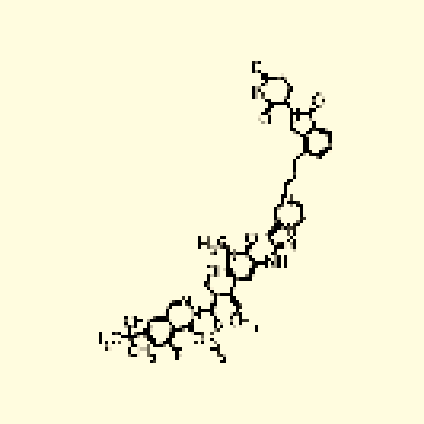 C=N/C(=C(CO)\C(=C/C)c1cc(Nc2cc3n(n2)CCN(CCCc2cccc4c2CN(C2CCC(=O)NC2=O)C4=O)C3)c(=O)n(C)c1)n1ncc2cc(C(C)(C)C)cc(F)c2c1=O